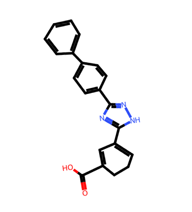 O=C(O)C1=CC(c2nc(-c3ccc(-c4ccccc4)cc3)n[nH]2)=CCC1